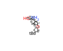 CC(C)(C)[C@H]1CC[C@H](Oc2ccc3c(c2)CC[C@H]([C@](C)(N)CO)C3)CC1